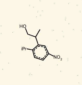 C[C](CO)c1cc([N+](=O)[O-])ccc1C(C)C